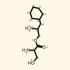 NC(COC(=O)C(N)CO)CC1CCCCC1